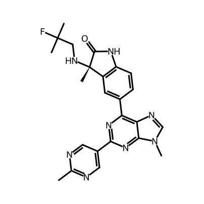 Cc1ncc(-c2nc(-c3ccc4c(c3)[C@](C)(NCC(C)(C)F)C(=O)N4)c3ncn(C)c3n2)cn1